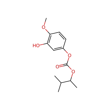 COc1ccc(OC(=O)OC(C)C(C)C)cc1O